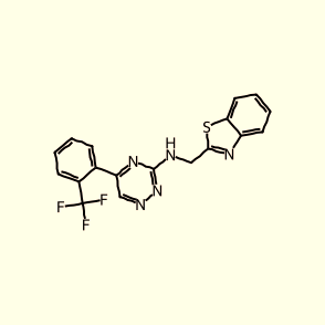 FC(F)(F)c1ccccc1-c1cnnc(NCc2nc3ccccc3s2)n1